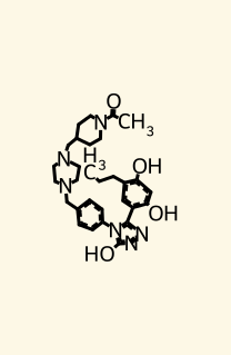 CCCc1cc(-c2nnc(O)n2-c2ccc(CN3CCN(CC4CCN(C(C)=O)CC4)CC3)cc2)c(O)cc1O